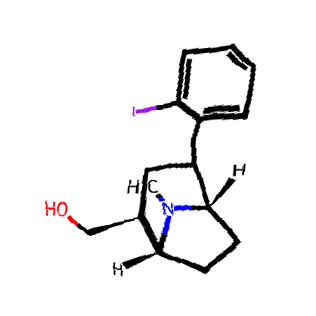 CN1[C@@H]2CC[C@H]1C(c1ccccc1I)C[C@@H]2CO